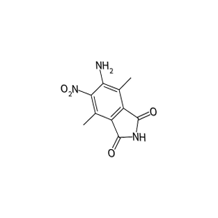 Cc1c(N)c([N+](=O)[O-])c(C)c2c1C(=O)NC2=O